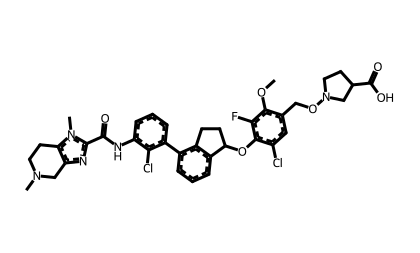 COc1c(CON2CCC(C(=O)O)C2)cc(Cl)c(OC2CCc3c(-c4cccc(NC(=O)c5nc6c(n5C)CCN(C)C6)c4Cl)cccc32)c1F